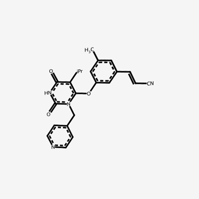 Cc1cc(/C=C/C#N)cc(Oc2c(C(C)C)c(=O)[nH]c(=O)n2Cc2ccncc2)c1